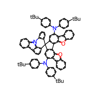 CC(C)(C)c1ccc(N(c2ccc(C(C)(C)C)cc2)c2cc3c(c4oc5ccccc5c24)-c2c(cc(N(c4ccc(C(C)(C)C)cc4)c4ccc(C(C)(C)C)cc4)c4c2oc2ccccc24)C32c3ccccc3-n3c4ccccc4c4cccc2c43)cc1